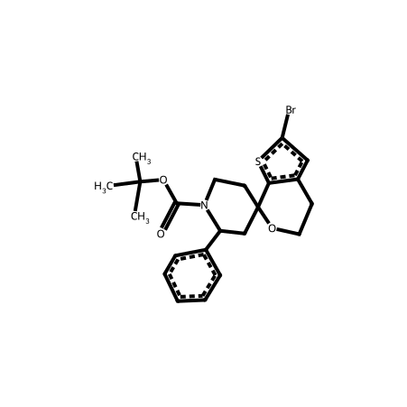 CC(C)(C)OC(=O)N1CCC2(CC1c1ccccc1)OCCc1cc(Br)sc12